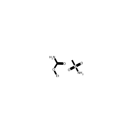 CCOC(N)=O.CS(N)(=O)=O